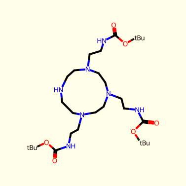 CC(C)(C)OC(=O)NCCN1CCNCCN(CCNC(=O)OC(C)(C)C)CCN(CCNC(=O)OC(C)(C)C)CC1